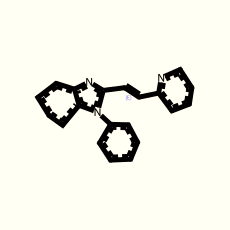 C(=C\c1nc2ccccc2n1-c1ccccc1)/c1ccccn1